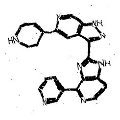 C1=C(c2cc3c(-c4nc5c(-c6cccnc6)nccc5[nH]4)n[nH]c3cn2)CCNC1